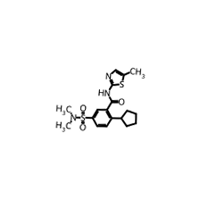 Cc1cnc(NC(=O)c2cc(S(=O)(=O)N(C)C)ccc2C2CCCC2)s1